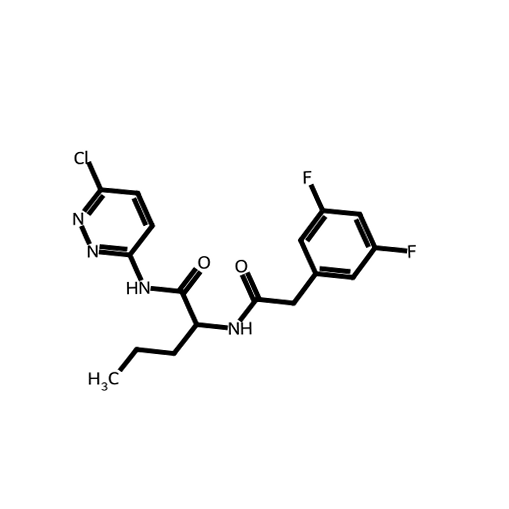 CCCC(NC(=O)Cc1cc(F)cc(F)c1)C(=O)Nc1ccc(Cl)nn1